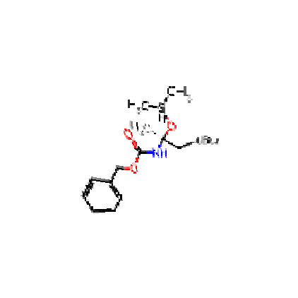 C[SiH](C)O[C@@](C)(CC(C)(C)C)NC(=O)OCc1ccccc1